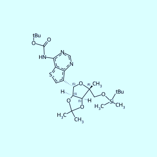 CC(C)(C)OC(=O)Nc1ncnc2c([C@@H]3O[C@](C)(CO[Si](C)(C)C(C)(C)C)[C@H]4OC(C)(C)O[C@@H]34)csc12